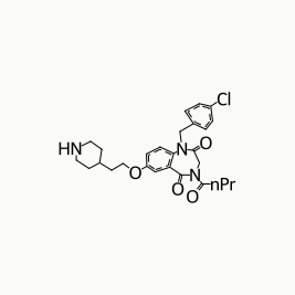 CCCC(=O)N1CC(=O)N(Cc2ccc(Cl)cc2)c2ccc(OCCC3CCNCC3)cc2C1=O